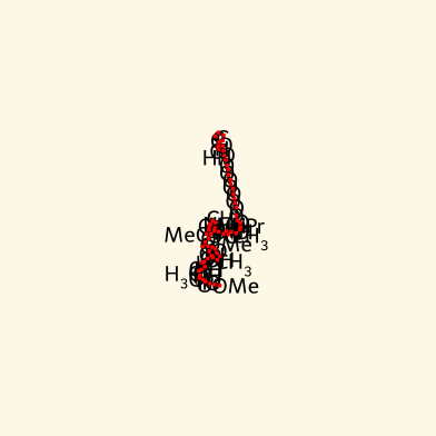 COCCOCCC(=O)N[C@H](C(=O)NC(C)C(=O)Nc1ccc(COC(=O)N2c3cc(OCCCCCOc4cc5c(cc4OC)C(=O)N4C=C(C)C[C@H]4[C@H](O)N5C(=O)OCc4ccc(NC(=O)[C@H](C)NC(=O)[C@@H](NC(=O)CCOCCOCCOCCOCCOCCOCCOCCOCCNC(=O)CCN5C(=O)CC(C6CCCCCCCCC6)C5=O)C(C)C)cc4)c(OC)cc3C(=O)N3C=C(C)C[C@H]3[C@@H]2O)cc1)C(C)C